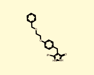 CC(C)c1[nH][nH]c(=O)c1Cc1ccc(OCCOCc2ccccc2)cc1